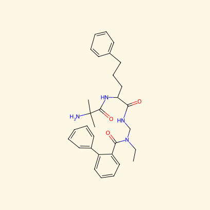 CCN(CNC(=O)C(CCCc1ccccc1)NC(=O)C(C)(C)N)C(=O)c1ccccc1-c1ccccc1